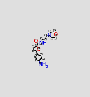 Nc1ccc(-c2ccc(C(=O)NCCCN3CCOCC3)o2)cc1